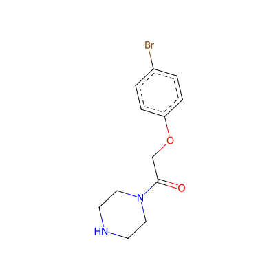 O=C(COc1ccc(Br)cc1)N1CCNCC1